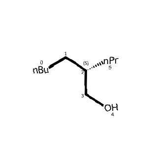 CCCCC[C@@H](CO)CCC